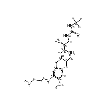 COCCCOc1cc(C[C@@H](C[C@H](N)[C@@H](O)CNC(=O)NC(C)(C)C)C(C)C)ccc1OC